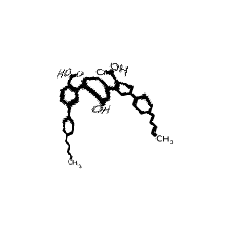 CCCCCC1CCC(c2ccc(C(=O)O)c(-c3ccc(-c4cc(C5CCC(CCCCC)CC5)ccc4C(=O)O)c(O)c3)c2)CC1